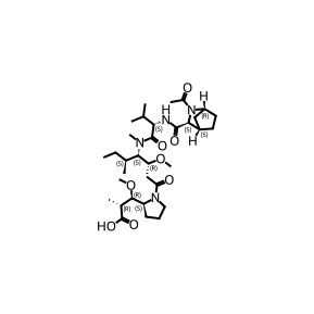 CC[C@H](C)[C@@H]([C@@H](CC(=O)N1CCC[C@H]1[C@H](OC)[C@@H](C)C(=O)O)OC)N(C)C(=O)[C@@H](NC(=O)[C@@H]1[C@H]2CC[C@H](C2)N1C(C)=O)C(C)C